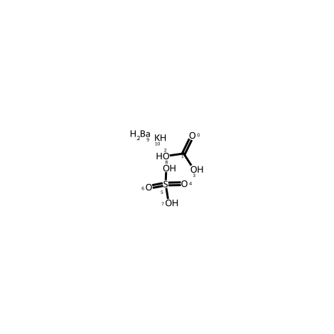 O=C(O)O.O=S(=O)(O)O.[BaH2].[KH]